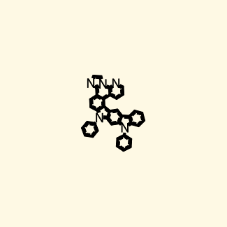 c1ccc(-n2c3ccccc3c3cc4c5c6c7cccnc7n7ccnc7c6ccc5n(-c5ccccc5)c4cc32)cc1